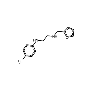 Cc1ccc(NCCNCc2ccco2)cc1